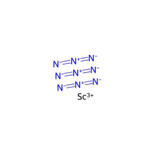 [N-]=[N+]=[N-].[N-]=[N+]=[N-].[N-]=[N+]=[N-].[Sc+3]